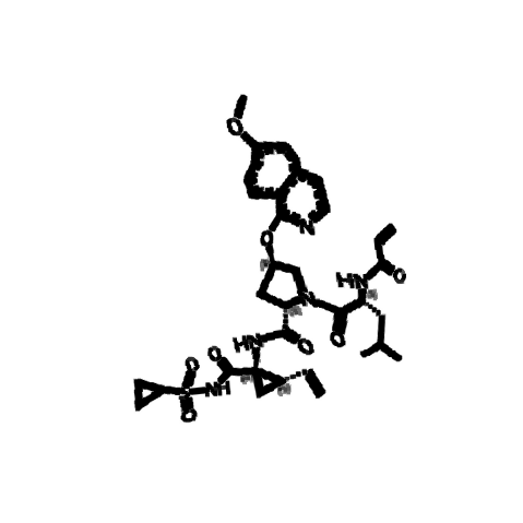 C=CC(=O)N[C@H](CC(C)C)C(=O)N1C[C@H](Oc2nccc3cc(OC)ccc23)C[C@H]1C(=O)N[C@]1(C(=O)NS(=O)(=O)C2CC2)C[C@H]1C=C